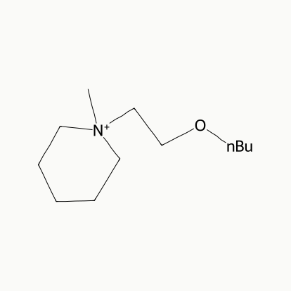 CCCCOCC[N+]1(C)CCCCC1